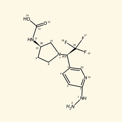 NNc1ccc([C@@H](N2CC[C@@H](NC(=O)O)C2)C(F)(F)F)cn1